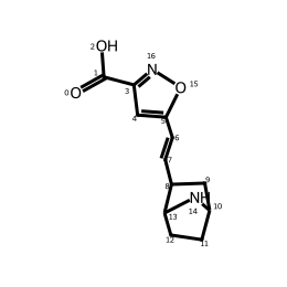 O=C(O)c1cc(/C=C/C2CC3CCC2N3)on1